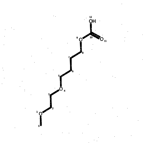 COCCOCCCCOC(=O)O